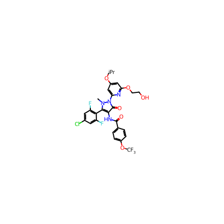 CC(C)Oc1cc(OCCO)nc(-n2c(=O)c(NC(=O)c3ccc(OC(F)(F)F)cc3)c(-c3c(F)cc(Cl)cc3F)n2C)c1